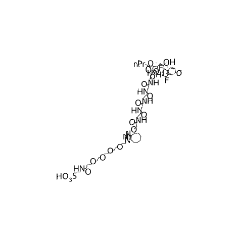 CCCC1O[C@@H]2C[C@H]3[C@@H]4C[C@H](F)C5=CC(=O)C=C[C@]5(C)[C@@]4(F)[C@@H](O)C[C@]3(C)[C@]2(C(=O)COCNC(=O)CNC(=O)CNC(=O)CNC(=O)CNC(=O)COC2CCCCCc3c2nnn3CCOCCOCCOCCOCCC(=O)NCCS(=O)(=O)O)O1